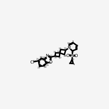 O=S(=O)(C1CC1)C1C=CC=CN1C1CC2(CC(c3nc4cc(Cl)ccc4o3)C2)C1